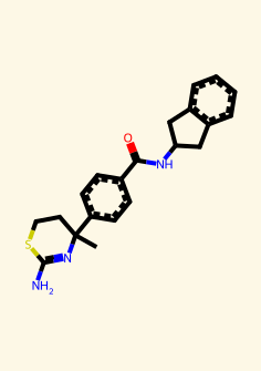 CC1(c2ccc(C(=O)NC3Cc4ccccc4C3)cc2)CCSC(N)=N1